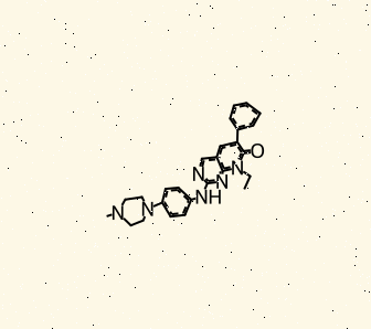 CCn1c(=O)c(-c2ccccc2)cc2cnc(Nc3ccc(N4CCN(C)CC4)cc3)nc21